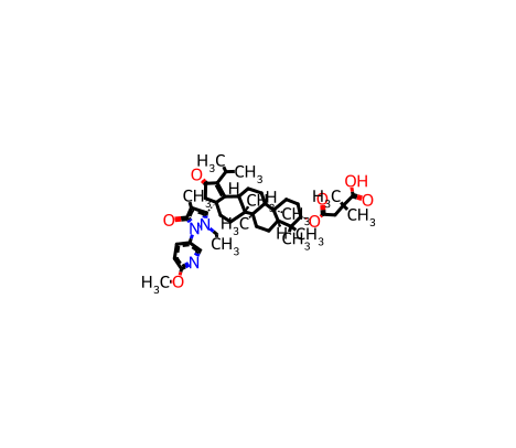 CCn1c([C@@]23CC[C@]4(C)[C@H](CC[C@@H]5[C@@]6(C)CC[C@H](OC(=O)CC(C)(C)C(=O)O)C(C)(C)[C@@H]6CC[C@]54C)C2=C(C(C)C)C(=O)C3)c(C)c(=O)n1-c1ccc(OC)nc1